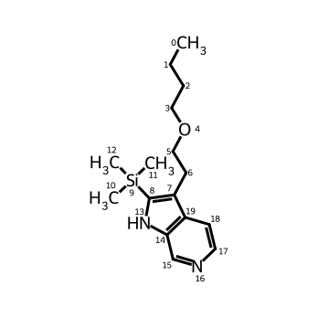 CCCCOCCc1c([Si](C)(C)C)[nH]c2cnccc12